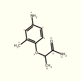 Cc1cc(N)ccc1OC(C)C(N)=O